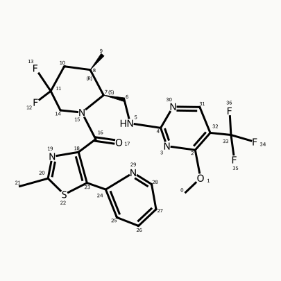 COc1nc(NC[C@@H]2[C@H](C)CC(F)(F)CN2C(=O)c2nc(C)sc2-c2ccccn2)ncc1C(F)(F)F